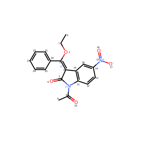 CCO/C(=C1/C(=O)N(C(C)=O)c2ccc([N+](=O)[O-])cc21)c1ccccc1